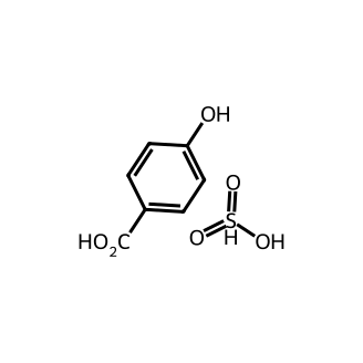 O=C(O)c1ccc(O)cc1.O=[SH](=O)O